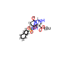 CC(C)(C)OC(=O)C1CNCN2C(=O)CCC(NS(=O)(=O)c3ccc4ccccc4c3)[N+]2([O-])C1